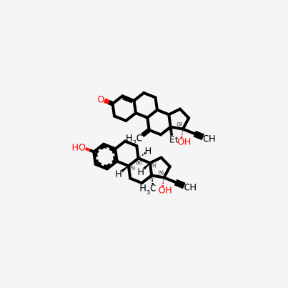 C#C[C@]1(O)CCC2C3CCC4=CC(=O)CCC4C3C(=C)CC21CC.C#C[C@]1(O)CC[C@H]2[C@@H]3CCc4cc(O)ccc4[C@H]3CC[C@@]21C